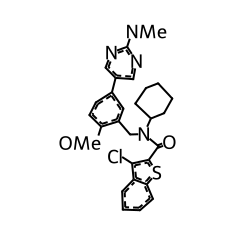 CNc1ncc(-c2ccc(OC)c(CN(C(=O)c3sc4ccccc4c3Cl)C3CCCCC3)c2)cn1